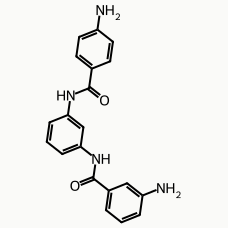 Nc1ccc(C(=O)Nc2cccc(NC(=O)c3cccc(N)c3)c2)cc1